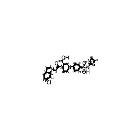 O=C(Cn1ccc2ccc(Cl)cc21)N1CCN(c2ccc(S(=O)(=O)Nc3nccs3)cc2)C[C@@H]1CO